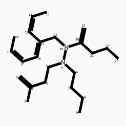 C=C(C)CCN(CCCC)N(CC(/C=C\C)=C/C=C\C)C(=C)CCC